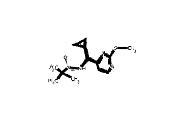 CSc1nccc(C(N[S@@+]([O-])C(C)(C)C)C2CC2)n1